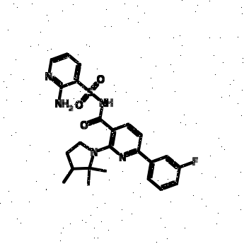 CC1CCN(c2nc(-c3cccc(F)c3)ccc2C(=O)NS(=O)(=O)c2cccnc2N)C1(C)C